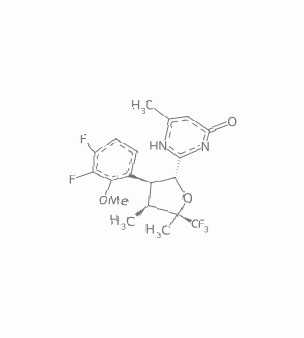 COc1c([C@H]2[C@H](c3nc(=O)cc(C)[nH]3)O[C@@](C)(C(F)(F)F)[C@H]2C)ccc(F)c1F